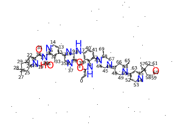 C=CC(=O)Nc1cc(Nc2nc(-c3ccnc(N4CCn5c(cc6c5CC(C)(C)C6)C4=O)c3CO)cn(C)c2=O)ccc1N1CCN(C2CCN(c3ccnc(C4(C)CCOCC4)c3)[C@H](C)C2)C[C@@H]1C